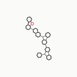 c1ccc(C2c3ccccc3-c3ccc(-c4ccc5c(c4)-c4ccccc4C5c4ccc5cc(-c6cccc7c6oc6ccccc67)ccc5c4)cc32)cc1